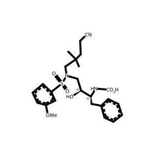 COc1cccc(S(=O)(=O)N(C[C@H](O)[C@H](Cc2ccccc2)NC(=O)O)CC(C)(C)CCC#N)c1